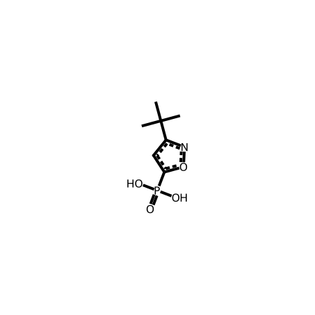 CC(C)(C)c1cc(P(=O)(O)O)on1